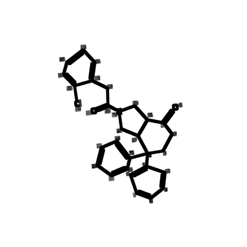 O=C1CCC(c2ccccc2)(c2ccccc2)C2CN(C(=O)Cc3ccccc3Cl)CC12